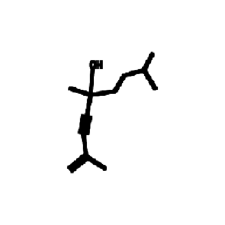 C=C(C)C#CC(C)(O)CCC(C)C